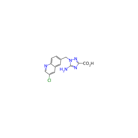 Nc1nc(C(=O)O)nn1Cc1ccc2ncc(Cl)cc2c1